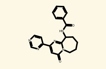 O=C(NC1CCCCn2c1nc(-c1ccncn1)cc2=O)c1[c]cccc1